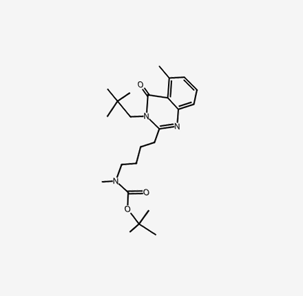 Cc1cccc2nc(CCCCN(C)C(=O)OC(C)(C)C)n(CC(C)(C)C)c(=O)c12